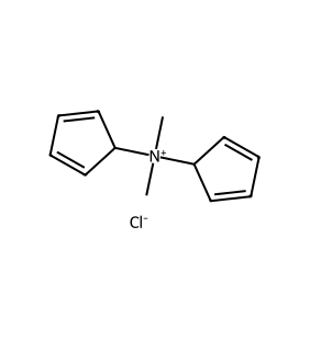 C[N+](C)(C1C=CC=C1)C1C=CC=C1.[Cl-]